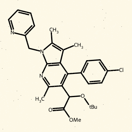 COC(=O)C(OC(C)(C)C)c1c(C)nc2c(c(C)c(C)n2Cc2ccccn2)c1-c1ccc(Cl)cc1